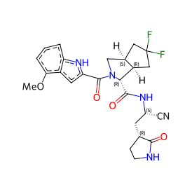 COc1cccc2[nH]c(C(=O)N3C[C@H]4CC(F)(F)C[C@H]4[C@@H]3C(=O)N[C@H](C#N)C[C@H]3CCNC3=O)cc12